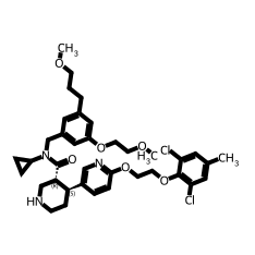 COCCCc1cc(CN(C(=O)[C@H]2CNCC[C@@H]2c2ccc(OCCOc3c(Cl)cc(C)cc3Cl)nc2)C2CC2)cc(OCCOC)c1